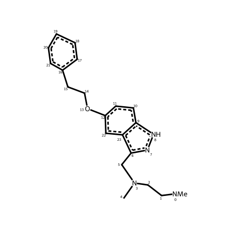 CNCCN(C)Cc1n[nH]c2ccc(OCCc3ccccc3)cc12